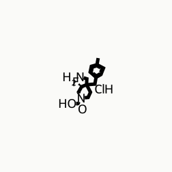 Cc1ccc(CC2(CN)CCN(C(=O)O)C[C@H]2F)cc1.Cl